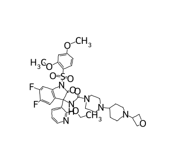 CCOc1ncccc1C1(NC(=O)N2CCN(C3CCN(C4COC4)CC3)CC2)C(=O)N(S(=O)(=O)c2ccc(OC)cc2OC)c2cc(F)c(F)cc21